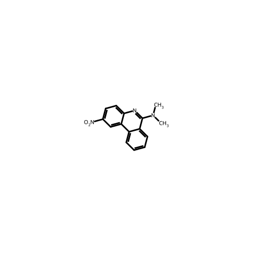 CN(C)c1nc2ccc([N+](=O)[O-])cc2c2ccccc12